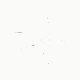 Br.CCCC[N+](CCCC)(CCCC)CCCC.O